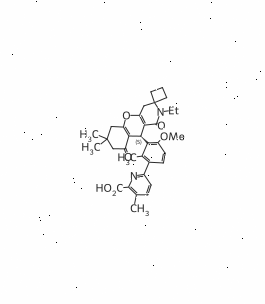 CCN1C(=O)C2=C(CC13CCC3)OC1=C(C(=O)CC(C)(C)C1)[C@@H]2c1c(OC)ccc(-c2ccc(C)c(C(=O)O)n2)c1C